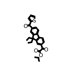 CCC1(CC)c2cc(C(=O)C(=O)OC(C)C)ccc2-c2ccc(C(=O)c3cccs3)cc21